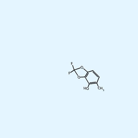 Cc1ccc2c(c1O)OC(F)(F)O2